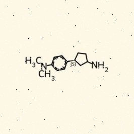 CN(C)c1ccc([C@H]2CCC(N)C2)cc1